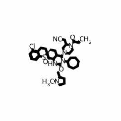 C=CC(=O)N1CCN(C2C3CC[C@@]4(CCc5c(Cl)cccc5S4)C(=O)C3NC(OCC3CCCN3C)N2C2CCCCCC2)CC1CC#N